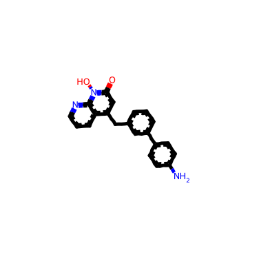 Nc1ccc(-c2cccc(Cc3cc(=O)n(O)c4ncccc34)c2)cc1